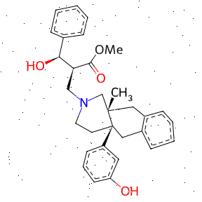 COC(=O)[C@@H](CN1CC[C@@]2(c3cccc(O)c3)Cc3ccccc3C[C@@]2(C)C1)[C@@H](O)c1ccccc1